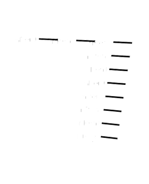 CCCCCC.CCCCCC.CCCCCC.CCCCCC.CCCCCC.CCCCCC.CCCCCC.CCCCCC.CCCCCC.CCOC(C)=O